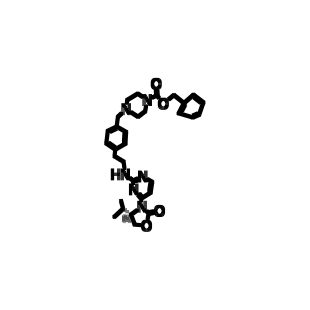 CC(C)[C@H]1COC(=O)N1c1ccnc(NCCc2ccc(CN3CCN(C(=O)OCc4ccccc4)CC3)cc2)n1